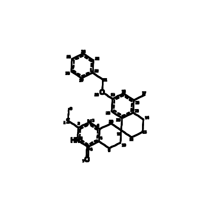 CSc1nc2c(c(=O)[nH]1)CCC1(CCCc3c(C)cc(OCc4ccccc4)cc31)C2